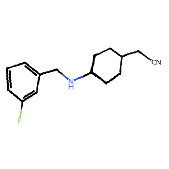 N#CCC1CCC(NCc2cccc(F)c2)CC1